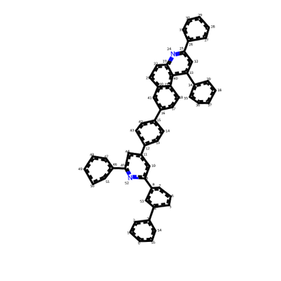 c1ccc(-c2cccc(-c3cc(-c4ccc(-c5ccc6c(ccc7nc(-c8ccccc8)cc(-c8ccccc8)c76)c5)cc4)cc(-c4ccccc4)n3)c2)cc1